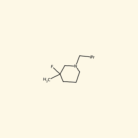 CC(C)CN1CCCC(C)(F)C1